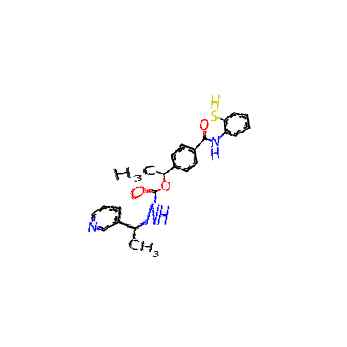 C[C@H](NC(=O)O[C@@H](C)c1ccc(C(=O)Nc2ccccc2S)cc1)c1cccnc1